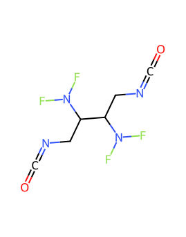 O=C=NCC(C(CN=C=O)N(F)F)N(F)F